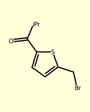 CC(C)C(=O)c1ccc(CBr)s1